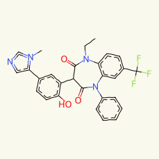 CCN1C(=O)C(c2cc(-c3cncn3C)ccc2O)C(=O)N(c2ccccc2)c2cc(C(F)(F)F)ccc21